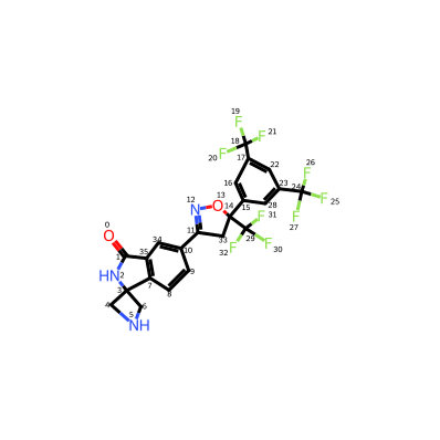 O=C1NC2(CNC2)c2ccc(C3=NOC(c4cc(C(F)(F)F)cc(C(F)(F)F)c4)(C(F)(F)F)C3)cc21